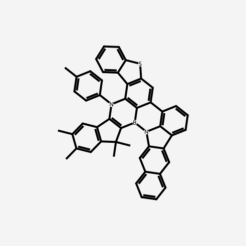 Cc1ccc(N2C3=C(B4c5c(cc6sc7ccccc7c6c52)-c2cccc5c6cc7ccccc7cc6n4c25)C(C)(C)c2cc(C)c(C)cc23)cc1